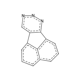 c1cc2c3c(cccc3c1)-c1nnncc1-2